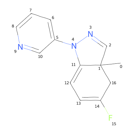 CC12C=NN(c3cccnc3)C1=CC=C(F)C2